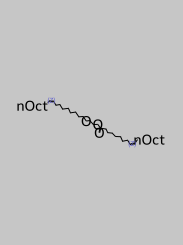 CCCCCCCC/C=C\CCCCCCCCOCCOC(=O)CCCCCCC/C=C\CCCCCCCC